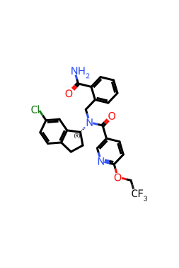 NC(=O)c1ccccc1CN(C(=O)c1ccc(OCC(F)(F)F)nc1)[C@@H]1CCc2ccc(Cl)cc21